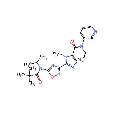 CCN(C(=O)c1cnc(-c2noc(N(C(=O)C(C)(C)C)C(C)C)n2)n1C)c1cccnc1